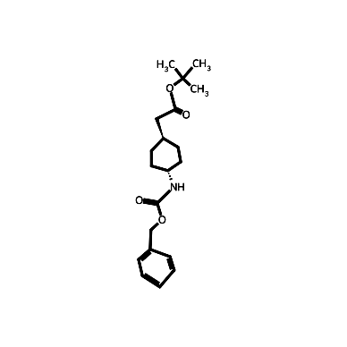 CC(C)(C)OC(=O)C[C@H]1CC[C@H](NC(=O)OCc2ccccc2)CC1